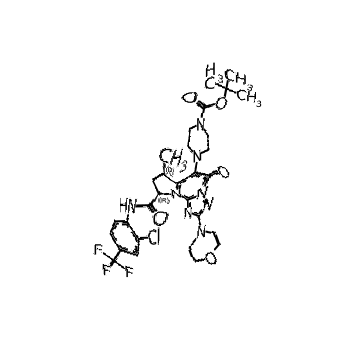 C[C@@H]1C[C@H](C(=O)Nc2ccc(C(F)(F)F)cc2Cl)n2c1c(N1CCN(C(=O)OC(C)(C)C)CC1)c(=O)n1nc(N3CCOCC3)nc21